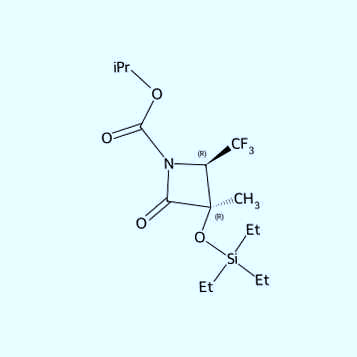 CC[Si](CC)(CC)O[C@@]1(C)C(=O)N(C(=O)OC(C)C)[C@H]1C(F)(F)F